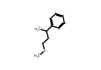 CSCCC(C)c1ccccc1